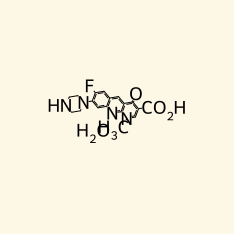 Cn1cc(C(=O)O)c(=O)c2cc3cc(F)c(N4CCNCC4)cc3nc21.O